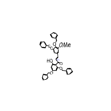 COc1cc(/C=C/C(=O)c2c(O)cc(OCc3ccccc3)cc2OCc2ccccc2)cc(OCc2ccccc2)c1OCc1ccccc1